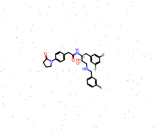 O=C(Cc1ccc(N2CCCC2=O)cc1)N[C@@H](Cc1cc(F)cc(F)c1)[C@@H](O)CNCc1cccc(I)c1